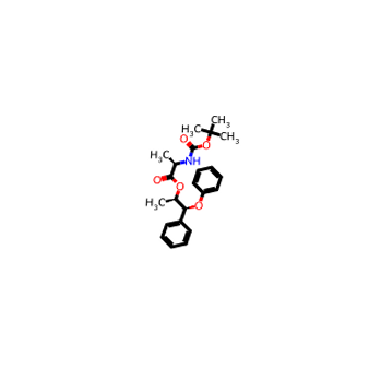 C[C@@H](NC(=O)OC(C)(C)C)C(=O)O[C@H](C)[C@@H](Oc1ccccc1)c1ccccc1